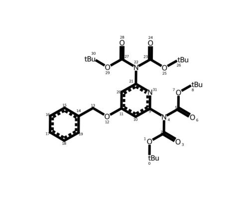 CC(C)(C)OC(=O)N(C(=O)OC(C)(C)C)c1cc(OCc2ccccc2)cc(N(C(=O)OC(C)(C)C)C(=O)OC(C)(C)C)n1